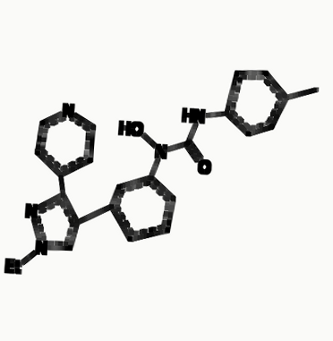 CCn1cc(-c2cccc(N(O)C(=O)Nc3ccc(C)cc3)c2)c(-c2ccncc2)n1